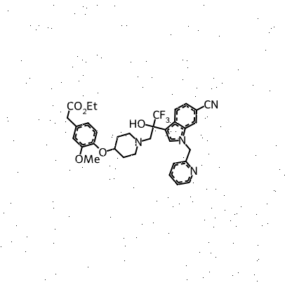 CCOC(=O)Cc1ccc(OC2CCN(CC(O)(c3cn(Cc4ccccn4)c4cc(C#N)ccc34)C(F)(F)F)CC2)c(OC)c1